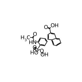 CC(=O)Nc1ccccc1[As](=O)(O)OO.O=C(O)c1ccc2ccccc2c1